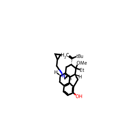 C=C([C@H]1C[C@]2(C)[C@H]3Cc4ccc(O)c5c4[C@@]2(CCN3CC2CC2)[C@@H](C5)C1(CC)OC)C(C)(C)C